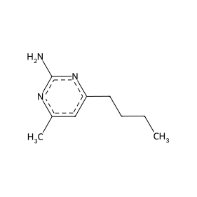 CCCCc1cc(C)nc(N)n1